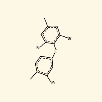 Cc1cc(Br)c(Oc2ccc(C)c(C(C)C)c2)c(Br)c1